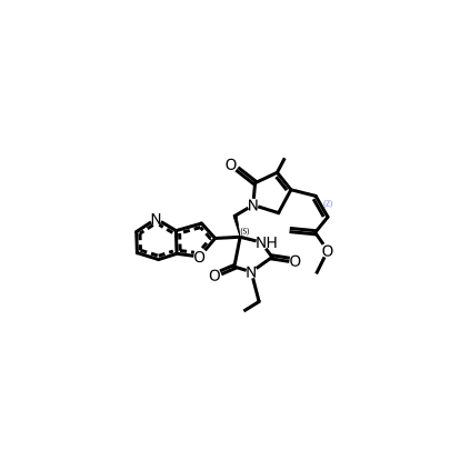 C=C(/C=C\C1=C(C)C(=O)N(C[C@@]2(c3cc4ncccc4o3)NC(=O)N(CC)C2=O)C1)OC